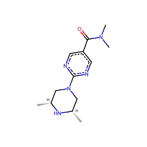 C[C@@H]1CN(c2ncc(C(=O)N(C)C)cn2)C[C@H](C)N1